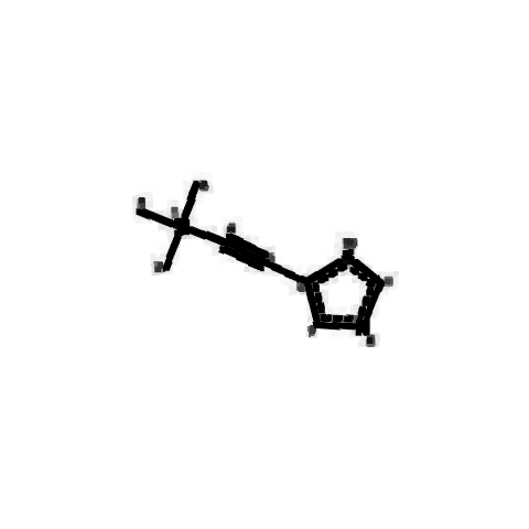 C[Si](C)(C)C#Cc1cncs1